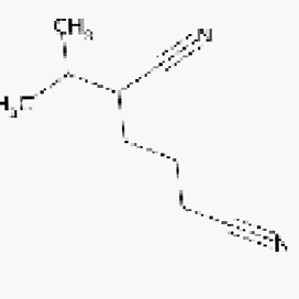 CC(C)C(C#N)CCCC#N